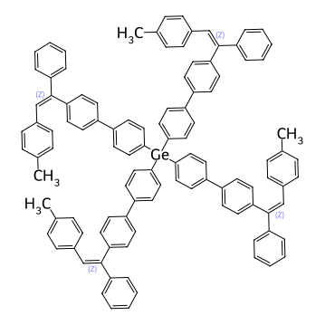 Cc1ccc(/C=C(/c2ccccc2)c2ccc(-c3cc[c]([Ge]([c]4ccc(-c5ccc(/C(=C\c6ccc(C)cc6)c6ccccc6)cc5)cc4)([c]4ccc(-c5ccc(/C(=C\c6ccc(C)cc6)c6ccccc6)cc5)cc4)[c]4ccc(-c5ccc(/C(=C\c6ccc(C)cc6)c6ccccc6)cc5)cc4)cc3)cc2)cc1